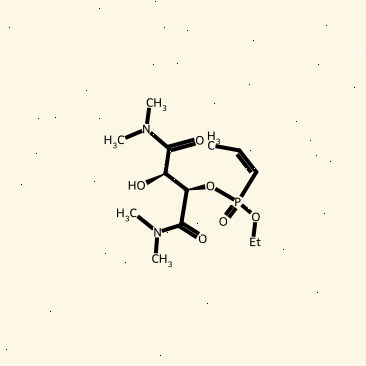 C/C=C\P(=O)(OCC)O[C@@H](C(=O)N(C)C)[C@@H](O)C(=O)N(C)C